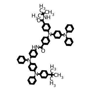 CC(C)(C)NC(=O)c1ccc(N(c2ccc(C(=O)Nc3ccc(N(c4ccccc4)c4ccc(N(c5ccccc5)c5ccc(C(C)(C)C)cc5)cc4)cc3)cc2)c2ccc(N(c3ccccc3)c3ccccc3)cc2)cc1